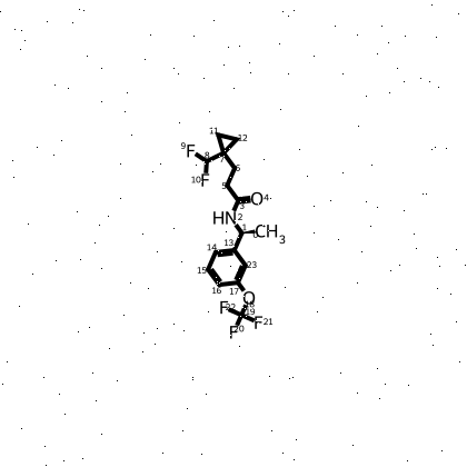 C[C@H](NC(=O)CCC1(C(F)F)CC1)c1cccc(OC(F)(F)F)c1